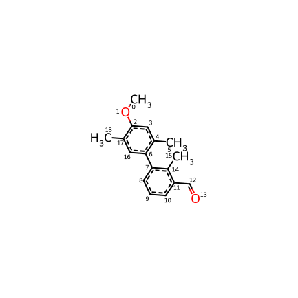 COc1cc(C)c(-c2cccc(C=O)c2C)cc1C